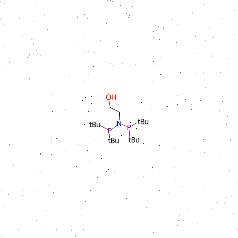 CC(C)(C)P(N(CCO)P(C(C)(C)C)C(C)(C)C)C(C)(C)C